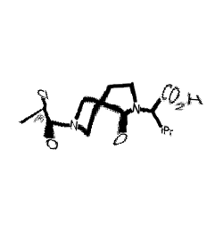 CC(C)C(C(=O)O)N1CCC2(CN(C(=O)[C@@H](C)Cl)C2)C1=O